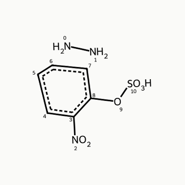 NN.O=[N+]([O-])c1ccccc1OS(=O)(=O)O